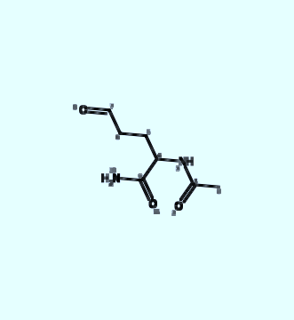 CC(=O)NC(CCC=O)C(N)=O